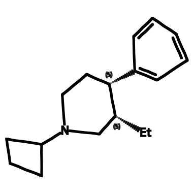 CC[C@@H]1CN(C2CCC2)CC[C@@H]1c1ccccc1